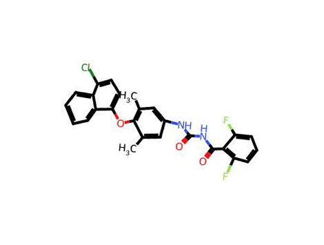 Cc1cc(NC(=O)NC(=O)c2c(F)cccc2F)cc(C)c1Oc1ccc(Cl)c2ccccc12